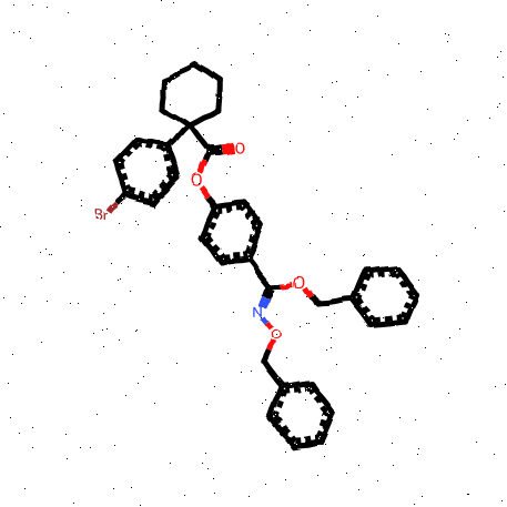 O=C(Oc1ccc(C(=NOCc2ccccc2)OCc2ccccc2)cc1)C1(c2ccc(Br)cc2)CCCCC1